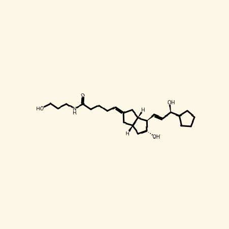 O=C(CCC/C=C1\C[C@H]2C[C@@H](O)[C@H](/C=C/[C@@H](O)C3CCCC3)[C@H]2C1)NCCCO